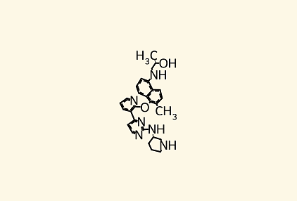 Cc1ccc2c(NC[C@H](C)O)cccc2c1Oc1ncccc1-c1ccnc(N[C@H]2CCCNC2)n1